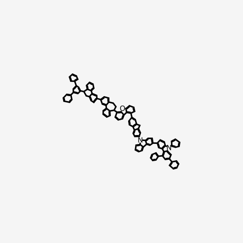 c1ccc(-c2cc(-c3ccccc3)cc(C3Cc4ccc(-c5ccc6c(c5)-c5ccccc5C(c5cccc7c5oc5cccc(-c8ccc9c(c8)Cc8cc(-n%10c%11ccccc%11c%11cc(-c%12ccc%13c(c%12)c%12c(-c%14ccccc%14)cc(-c%14ccccc%14)cc%12n%13-c%12ccccc%12)ccc%11%10)ccc8-9)c57)CC6)cc4-c4ccccc43)c2)cc1